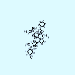 CC(OCc1ccccc1)[C@H](NC(=O)N(C)N)C(=O)N1CCCC1C1=N[C@](CO)(Cc2cccc(Cl)c2)CO1